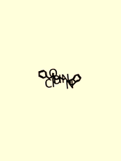 O=C(OCCNC1=NCc2ccccc21)C(Cl)c1ccccc1